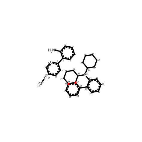 Nc1ccccc1-c1[c-]cccc1.[Cl][Pd+].c1ccc(-c2ccccc2P(C2CCCCC2)C2CCCCC2)cc1